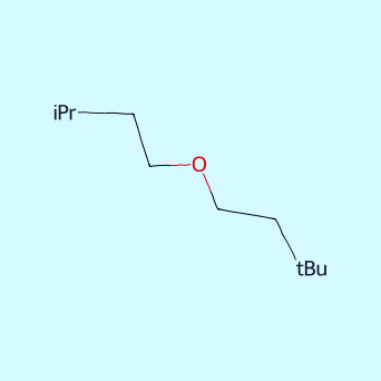 CC(C)CCOCCC(C)(C)C